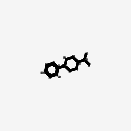 CN(C)C1CCN(c2ccn[c]n2)CC1